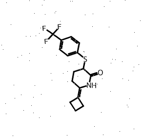 O=C1NC(=C2CCC2)CCC1Sc1ccc(C(F)(F)F)cc1